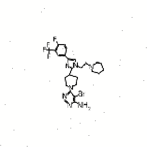 Nc1ncnc(N2CCC(c3nc(-c4ccc(F)c(C(F)(F)F)c4)cn3CCN3CCCCC3)CC2)c1Br